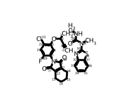 C#CC(C)Oc1cc(N2C(=O)C3=C(CCCC3)C2=O)c(F)cc1Cl.CNC(=O)N(C)c1nc2ccccc2s1